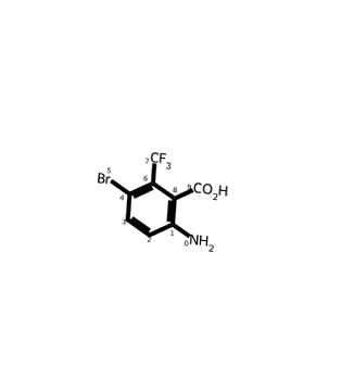 Nc1ccc(Br)c(C(F)(F)F)c1C(=O)O